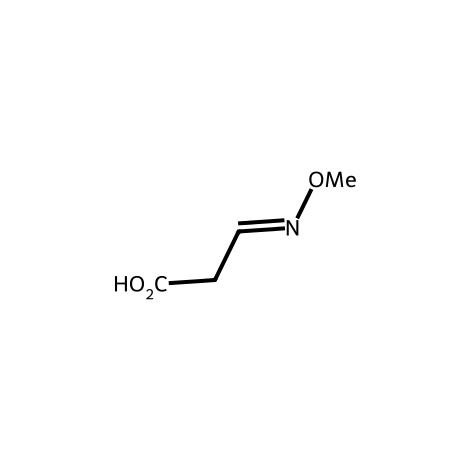 CON=CCC(=O)O